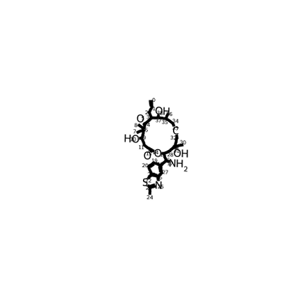 C=CCC1C(=O)C(C)(C)C(O)CC(=O)OC(C(N)c2ccc3sc(C)nc3c2)CC(C)(O)CCCC(C)C1O